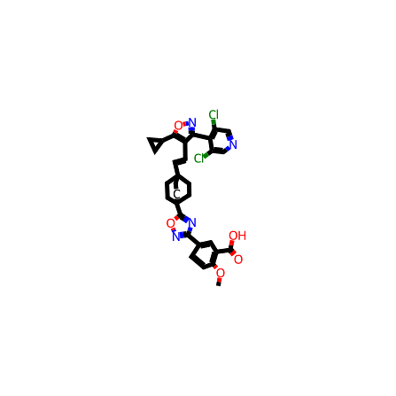 COc1ccc(-c2noc(C34CCC(C=Cc5c(-c6c(Cl)cncc6Cl)noc5C5CC5)(CC3)CC4)n2)cc1C(=O)O